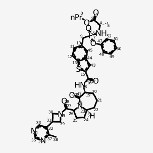 CCCOC(=O)[C@H](C)NP(=O)(Cc1ccc2sc(C(=O)N[C@H]3CCC[C@H]4CCC(C(=O)N5CC(c6cncnc6C)C5)N4C3=O)cc2c1)Oc1ccccc1